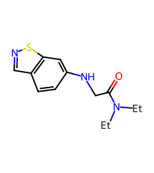 CCN(CC)C(=O)CNc1ccc2cnsc2c1